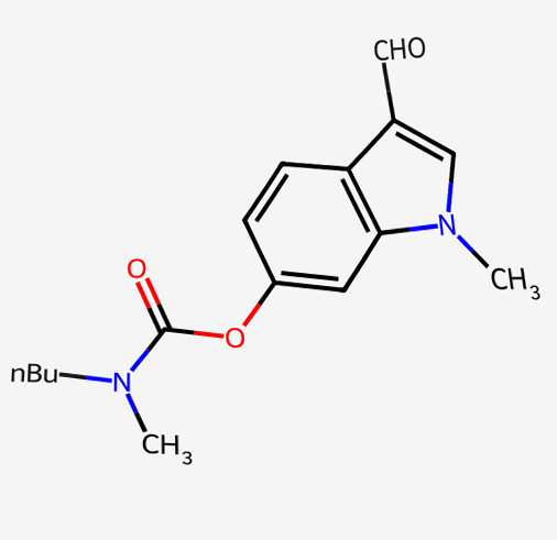 CCCCN(C)C(=O)Oc1ccc2c(C=O)cn(C)c2c1